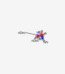 CCCCCCCCCCCCCCCCCCCCCCCCCCN[C@@H](CO[C@H]1O[C@H](Cn2cc(-c3ccc(CCC)cc3)nn2)[C@H](OCc2ccccc2)[C@H](OCc2ccccc2)[C@H]1OCc1ccccc1)[C@H](OCc1ccccc1)[C@@H](CCCCCCCCCCCCCC)OCc1ccccc1